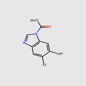 CCCc1cc2c(cc1CC)ncn2C(=O)OC